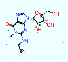 CC(C)CNc1nc2c(ncn2[C@@H]2O[C@H](CO)[C@@H](O)[C@H]2O)c(=O)n1C